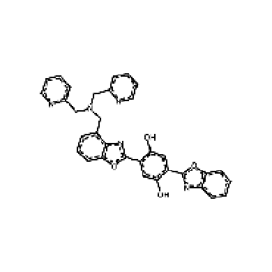 Oc1cc(-c2nc3c(CN(Cc4ccccn4)Cc4ccccn4)cccc3o2)c(O)cc1-c1nc2ccccc2o1